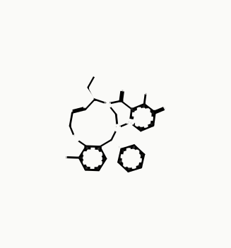 CC[C@@H]1/C=C/COc2c(Cl)cccc2[C@@H](c2ccccc2)N2CN1C(=O)c1c(O)c(=O)ccn12